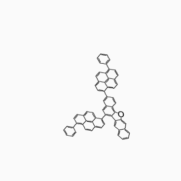 c1ccc(-c2ccc3ccc4c(-c5ccc6c(c5)cc(-c5ccc7ccc8c(-c9ccccc9)ccc9ccc5c7c98)c5c7cc8ccccc8cc7oc65)ccc5ccc2c3c54)cc1